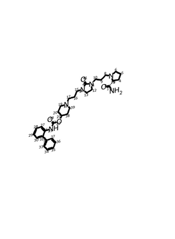 NC(=O)[C@H]1CCCN1CCCN1CCN(CCCN2CCC(OC(=O)Nc3ccccc3-c3ccccc3)CC2)C1=O